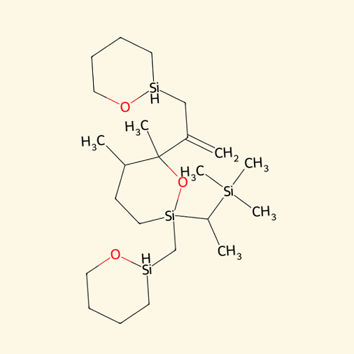 C=C(C[SiH]1CCCCO1)C1(C)O[Si](C[SiH]2CCCCO2)(C(C)[Si](C)(C)C)CCC1C